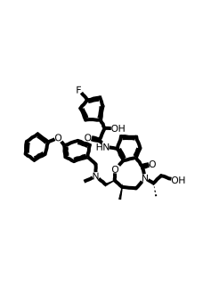 C[C@@H]1CN([C@@H](C)CO)C(=O)c2cccc(NC(=O)C(O)c3ccc(F)cc3)c2O[C@@H]1CN(C)Cc1ccc(Oc2ccccc2)cc1